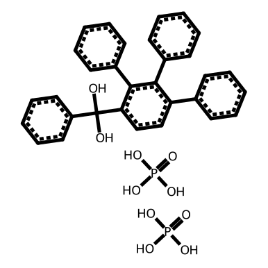 O=P(O)(O)O.O=P(O)(O)O.OC(O)(c1ccccc1)c1ccc(-c2ccccc2)c(-c2ccccc2)c1-c1ccccc1